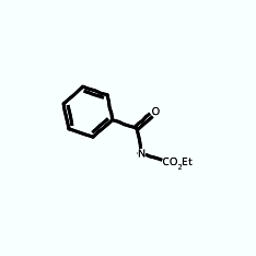 CCOC(=O)[N]C(=O)c1ccccc1